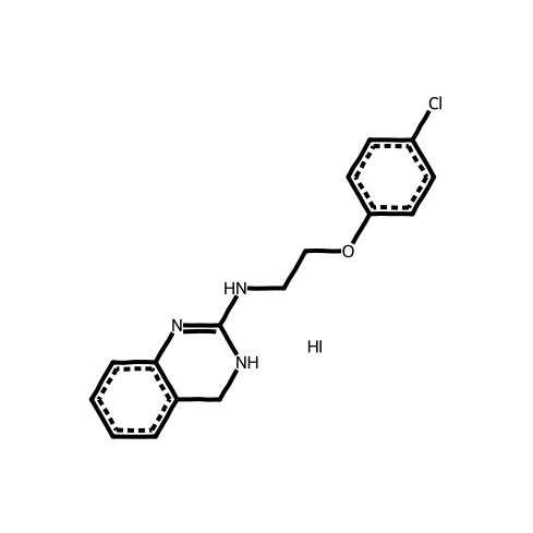 Clc1ccc(OCCNC2=Nc3ccccc3CN2)cc1.I